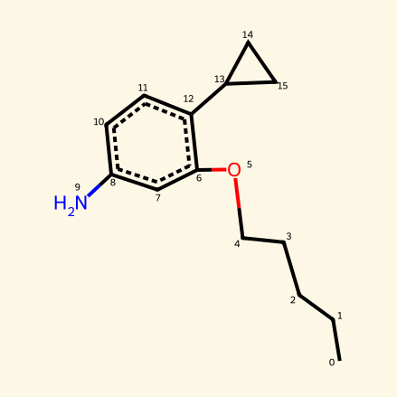 CCCCCOc1cc(N)ccc1C1CC1